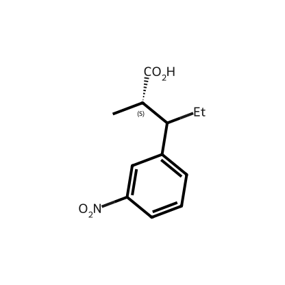 CCC(c1cccc([N+](=O)[O-])c1)[C@H](C)C(=O)O